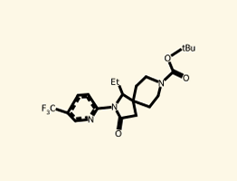 CCC1N(c2ccc(C(F)(F)F)cn2)C(=O)CC12CCN(C(=O)OC(C)(C)C)CC2